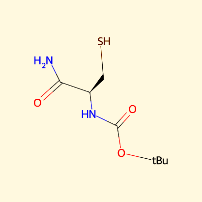 CC(C)(C)OC(=O)N[C@H](CS)C(N)=O